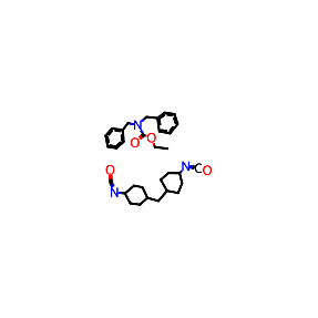 CCOC(=O)N(Cc1ccccc1)Cc1ccccc1.O=C=NC1CCC(CC2CCC(N=C=O)CC2)CC1